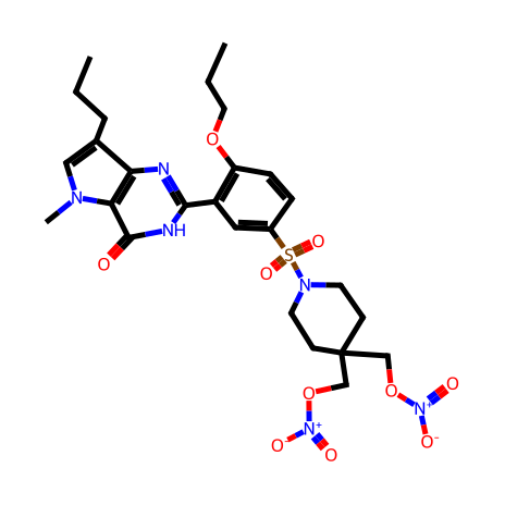 CCCOc1ccc(S(=O)(=O)N2CCC(CO[N+](=O)[O-])(CO[N+](=O)[O-])CC2)cc1-c1nc2c(CCC)cn(C)c2c(=O)[nH]1